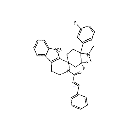 CN(C)C1(c2cccc(F)c2)CCC2(CC1(F)F)c1[nH]c3ccccc3c1CCN2C(=O)/C=C/c1ccccc1